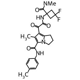 CNC(=O)C1(NC(=O)C(=O)c2c(C)c(C(=O)Nc3ccc(C)cc3)n3c2CCC3)CC(F)(F)C1